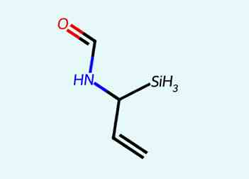 C=CC([SiH3])NC=O